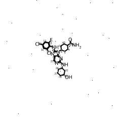 NC(=O)C1CCC(n2c(Nc3c(F)cc(Cl)cc3Cl)nc3cnc(N[C@@H]4CCC[C@@H](O)C4)nc32)CC1